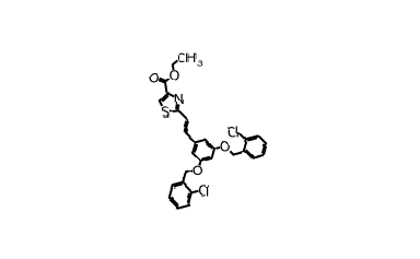 CCOC(=O)c1csc(/C=C/c2cc(OCc3ccccc3Cl)cc(OCc3ccccc3Cl)c2)n1